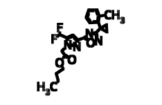 CCCCOC(=O)Cn1nc(-c2nc(C3(c4ccccc4C)CC3)no2)cc1C(F)F